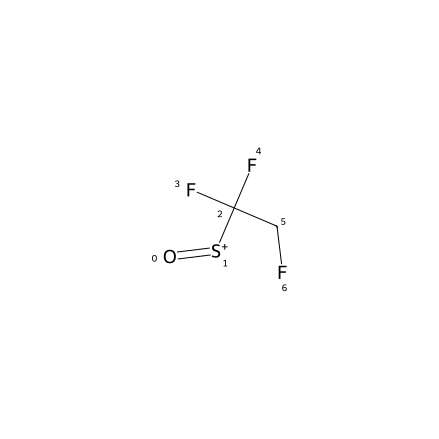 O=[S+]C(F)(F)CF